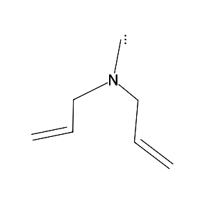 [C]N(CC=C)CC=C